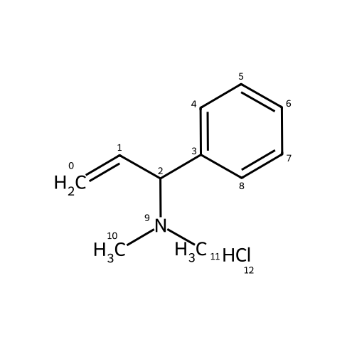 C=CC(c1ccccc1)N(C)C.Cl